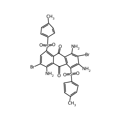 Cc1ccc(S(=O)(=O)c2cc(Br)c(N)c3c2C(=O)c2c(N)c(Br)c(N)c(S(=O)(=O)c4ccc(C)cc4)c2C3=O)cc1